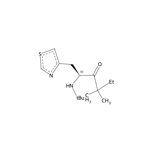 CCC(C)(C)C(=O)[C@H](Cc1cscn1)NC(C)(C)C